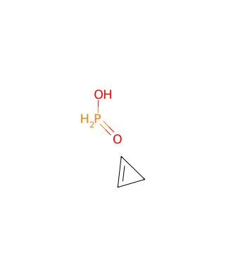 C1=CC1.O=[PH2]O